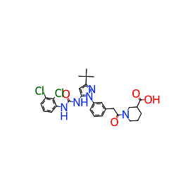 CC(C)(C)c1cc(NC(=O)Nc2cccc(Cl)c2Cl)n(-c2cccc(CC(=O)N3CCCC(C(=O)O)C3)c2)n1